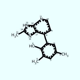 Cc1cc(C)c(O)c(-c2ccnc3[nH]c(C)nc23)c1